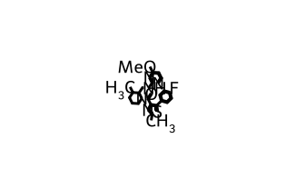 COc1ccnc(NCC2C(C)CCCN2C(=O)c2nc(C)sc2-c2ccc(F)cc2)n1